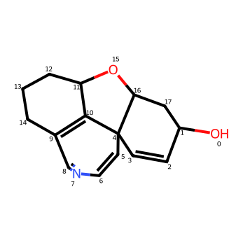 OC1C=CC23C=CN=CC4=C2C(CCC4)OC3C1